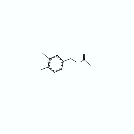 N=C(N)NCc1ccc([18F])c(I)c1